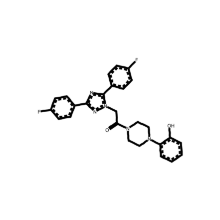 O=C(Cn1nc(-c2ccc(F)cc2)nc1-c1ccc(F)cc1)N1CCN(c2ccccc2O)CC1